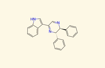 C1=N[C@@H](c2ccccc2)[C@H](c2ccccc2)N=C1c1c[nH]c2ccccc12